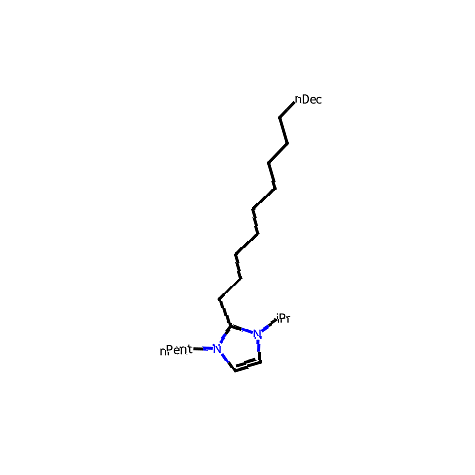 CCCCCCCCCCCCCCCCCCCC1N(CCCCC)C=CN1C(C)C